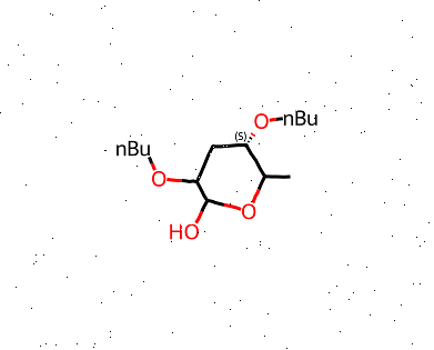 CCCCOC1C[C@H](OCCCC)C(C)OC1O